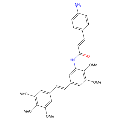 COc1cc(C=Cc2cc(OC)c(OC)c(OC)c2)cc(NC(=O)C=Cc2ccc(N)cc2)c1OC